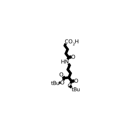 CC(C)(C)OC(=O)C(CCCNC(=O)CCCC(=O)O)C(=O)OC(C)(C)C